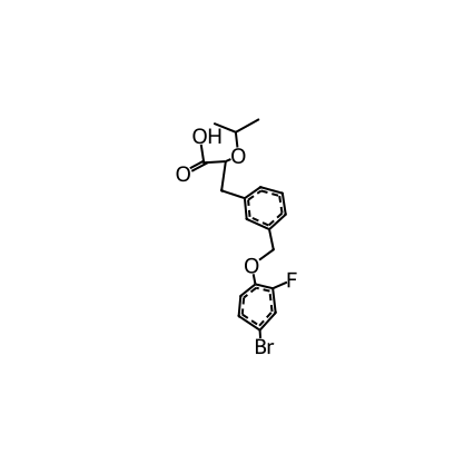 CC(C)OC(Cc1cccc(COc2ccc(Br)cc2F)c1)C(=O)O